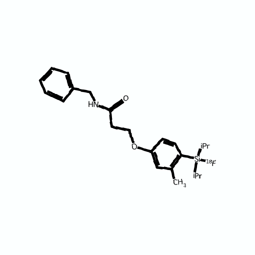 Cc1cc(OCCC(=O)NCc2ccccc2)ccc1[Si]([18F])(C(C)C)C(C)C